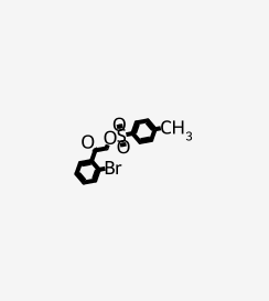 Cc1ccc(S(=O)(=O)OCC(=O)c2ccccc2Br)cc1